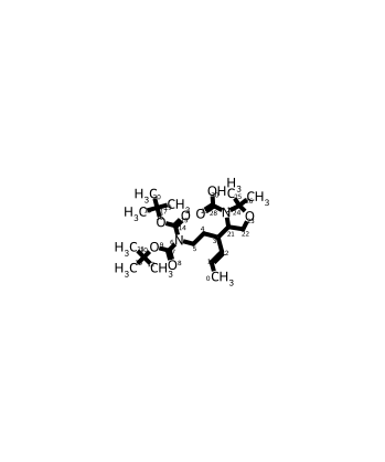 CC=CC(CCN(C(=O)OC(C)(C)C)C(=O)OC(C)(C)C)C1COC(C)(C)N1C(=O)O